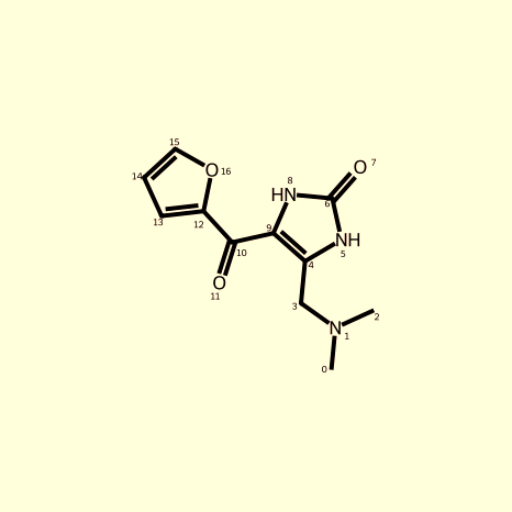 CN(C)Cc1[nH]c(=O)[nH]c1C(=O)c1ccco1